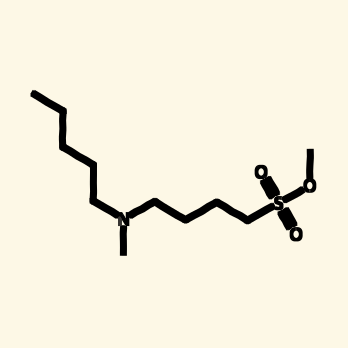 CCCCCN(C)CCCCS(=O)(=O)OC